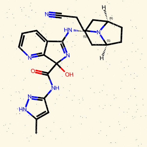 Cc1cc(NC(=O)C2(O)N=C(N[C@@H]3C[C@H]4CC[C@@H](C3)N4CCC#N)c3cccnc32)n[nH]1